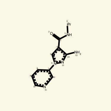 CC(C)NC(=O)c1cn(-c2cccnc2)nc1N